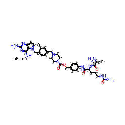 CCCCCNc1nc(N)nc2ccn(Cc3ccc(CN4CCN(C(=O)OCc5ccc(NC(=O)C(CCCNC(N)=O)NC(=O)C(N)C(C)C)cc5)CC4)cc3OC)c12